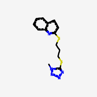 Cn1nnnc1SCCCSc1ccc2ccccc2n1